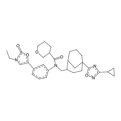 CCn1cc(-c2cccc(N(CC3CCC4(c5nc(C6CC6)no5)CCCC3C4)C(=O)C3CCCOC3)c2)oc1=O